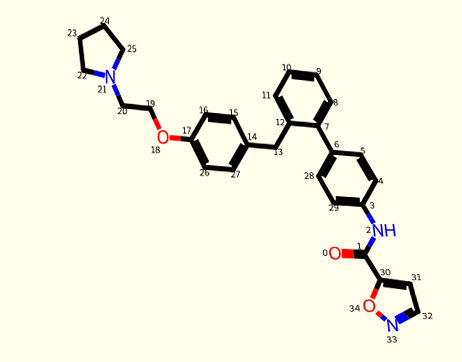 O=C(Nc1ccc(-c2ccccc2Cc2ccc(OCCN3CCCC3)cc2)cc1)c1ccno1